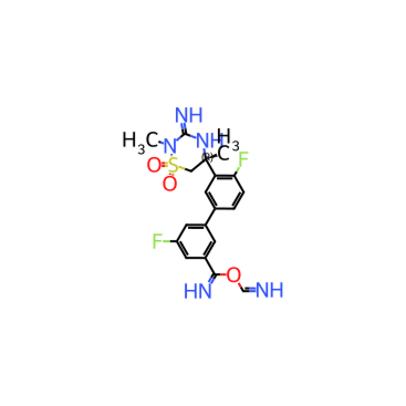 CN1C(=N)N[C@](C)(c2cc(-c3cc(F)cc(C(=N)OC=N)c3)ccc2F)CS1(=O)=O